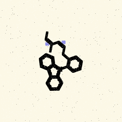 C/C=C(C)\C=C/Cc1ccccc1-n1c2ccccc2c2ccccc21